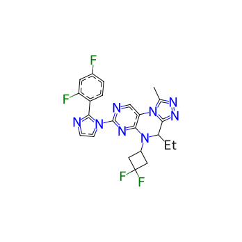 CCC1c2nnc(C)n2-c2cnc(-n3ccnc3-c3ccc(F)cc3F)nc2N1C1CC(F)(F)C1